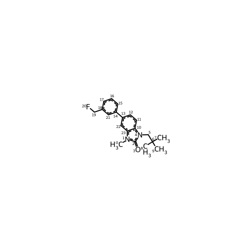 Cn1c(=O)n(CC(C)(C)C)c2ccc(-c3cccc(CF)c3)cc21